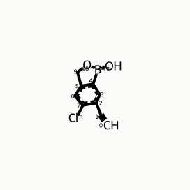 C#Cc1cc2c(cc1Cl)COB2O